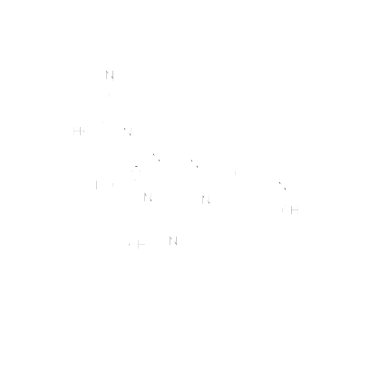 CC(=O)N1CCN(c2cccc3cccc(C)c23)Cc2nc(OC[C@@H]3CCCN3C)nc(N3CCN(C(=O)O)C(CC#N)C3)c21